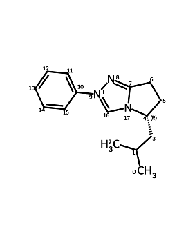 CC(C)C[C@H]1CCc2n[n+](-c3ccccc3)cn21